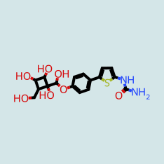 NC(=O)Nc1ccc(-c2ccc(OC(O)C3(O)C(O)C(O)C3CO)cc2)s1